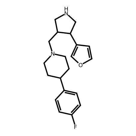 Fc1ccc(C2CCN(CC3CNCC3c3ccoc3)CC2)cc1